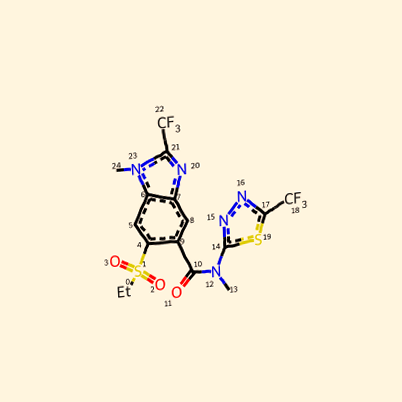 CCS(=O)(=O)c1cc2c(cc1C(=O)N(C)c1nnc(C(F)(F)F)s1)nc(C(F)(F)F)n2C